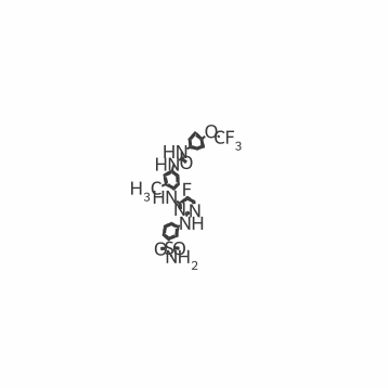 Cc1cc(NC(=O)Nc2ccc(OC(F)(F)F)cc2)ccc1Nc1nc(Nc2cccc(S(N)(=O)=O)c2)ncc1F